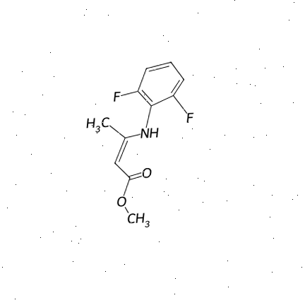 COC(=O)/C=C(/C)Nc1c(F)cccc1F